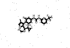 Cc1cn2ncnc(C3(N)CC3)c2c1-c1ccc(NC(=O)Nc2cccc(C(F)(F)F)n2)cc1F